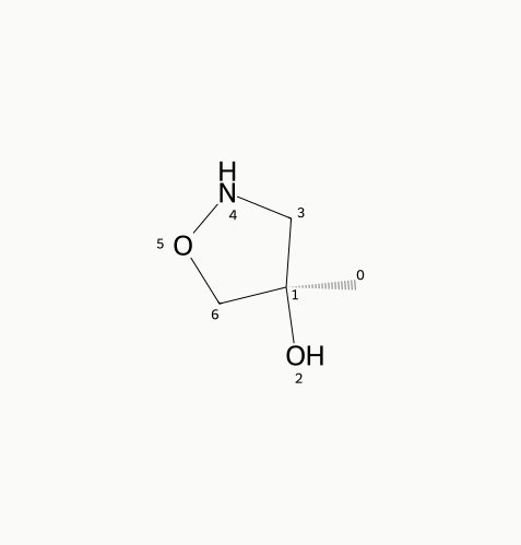 C[C@@]1(O)CNOC1